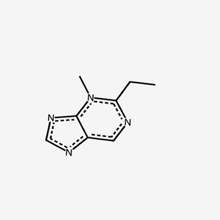 CCc1ncc2ncnc-2n1C